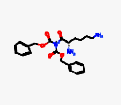 NCCCC[C@H](N)C(=O)[N+](C(=O)OCc1ccccc1)C(=O)OCc1ccccc1